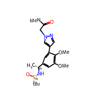 CNC(=O)Cn1cc(-c2cc([C@@H](C)N[S@@+]([O-])C(C)(C)C)cc(OC)c2OC)cn1